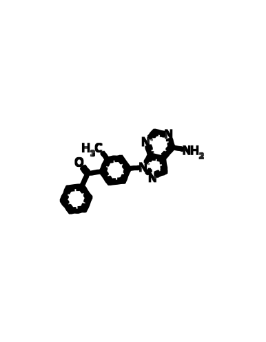 Cc1cc(-n2ncc3c(N)ncnc32)ccc1C(=O)c1ccccc1